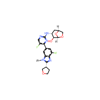 CC(C)n1c([C@@H]2CCOC2)nc2c(F)cc(-c3nc(N[C@@H]4C[C@H]5CO[C@H](O5)[C@H]4O)ncc3F)cc21